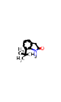 CC(C)(C)c1cccc2c1NC(=O)C2